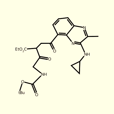 CCOC(=O)C(CC(=O)c1cccc2nc(C)c(NC3CC3)nc12)C(=O)CNC(=O)OC(C)(C)C